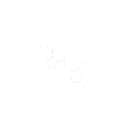 CN(c1cn(C)nc1C(N)=O)S(=O)(=O)c1ccc(N=O)cc1N=O